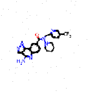 Cn1ncc2c(N)nc3ccc(C(=O)N(Cc4ccc(C(F)(F)F)cn4)N4CCCCC4)cc3c21